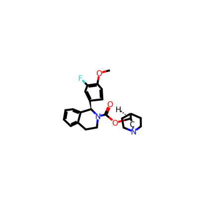 COc1ccc([C@@H]2c3ccccc3CCN2C(=O)O[C@@H]2CN3CCC2CC3)cc1F